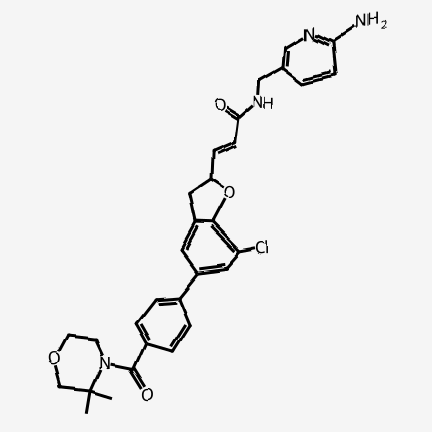 CC1(C)COCCN1C(=O)c1ccc(-c2cc(Cl)c3c(c2)CC(C=CC(=O)NCc2ccc(N)nc2)O3)cc1